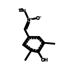 Cc1cc(C=[N+]([O-])C(C)(C)C)cc(C)c1O